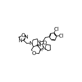 O=C(Cc1ccc(Cl)c(Cl)c1)N1CCN(Cc2ncon2)C2COC[C@H](N3CCCC3)[C@H]21